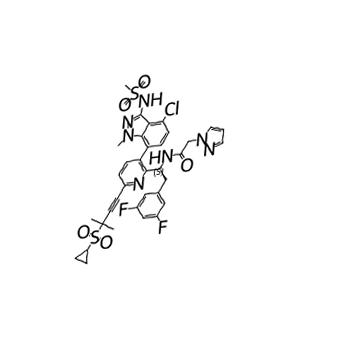 Cn1nc(NS(C)(=O)=O)c2c(Cl)ccc(-c3ccc(C#CC(C)(C)S(=O)(=O)C4CC4)nc3[C@H](Cc3cc(F)cc(F)c3)NC(=O)Cn3cccn3)c21